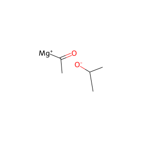 CC(C)[O-].C[C](=O)[Mg+]